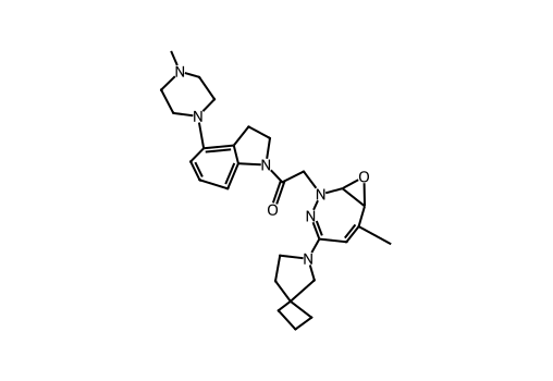 CC1=CC(N2CCC3(CCC3)C2)=NN(CC(=O)N2CCc3c(N4CCN(C)CC4)cccc32)C2OC12